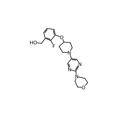 OCc1cccc(OC2CCN(c3cnc(N4CCOCC4)nc3)CC2)c1F